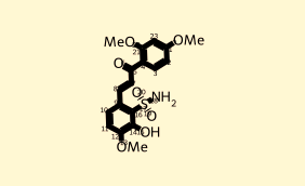 COc1ccc(C(=O)/C=C/c2ccc(OC)c(O)c2S(N)(=O)=O)c(OC)c1